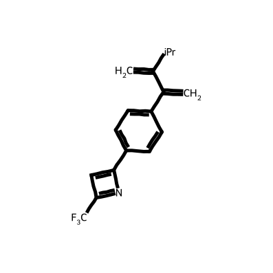 C=C(C(=C)C(C)C)c1ccc(C2=CC(C(F)(F)F)=N2)cc1